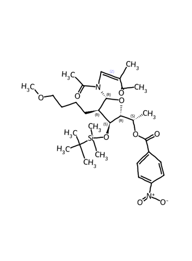 COCCCC[C@@H]1[C@H](O[Si](C)(C)C(C)(C)C)[C@@H]([C@H](C)OC(=O)c2ccc([N+](=O)[O-])cc2)O[C@H]1N(/C=C(/C)C(C)=O)C(C)=O